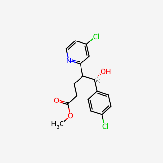 COC(=O)CCC(c1cc(Cl)ccn1)[C@H](O)c1ccc(Cl)cc1